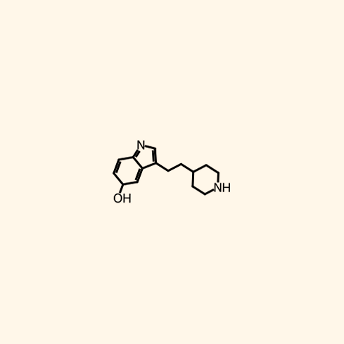 OC1C=CC2=NC=C(CCC3CCNCC3)C2=C1